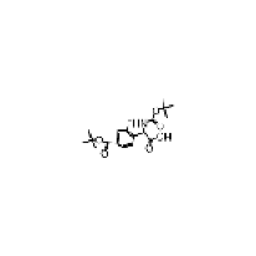 CC(C)(C)OC(=O)NC(C(=O)O)c1ccc(C(=O)OC(C)(C)C)cc1F